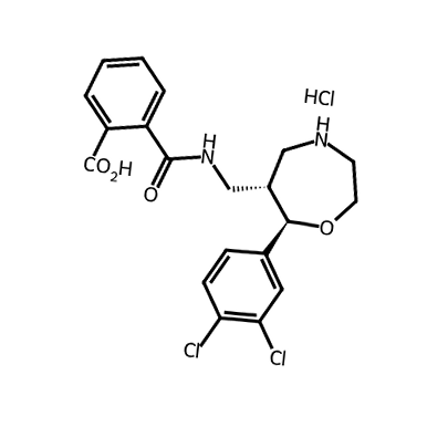 Cl.O=C(O)c1ccccc1C(=O)NC[C@@H]1CNCCO[C@H]1c1ccc(Cl)c(Cl)c1